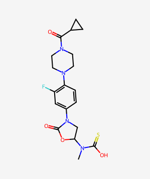 CN(C(O)=S)C1CN(c2ccc(N3CCN(C(=O)C4CC4)CC3)c(F)c2)C(=O)O1